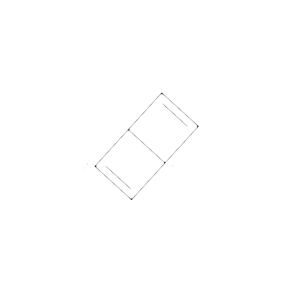 C1=CC2C=CC12